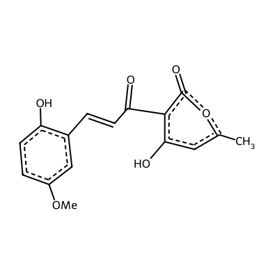 COc1ccc(O)c(C=CC(=O)c2c(O)cc(C)oc2=O)c1